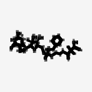 CC(C)(C(=O)O)C(=O)SCCOP(=O)(NCc1ccccc1)OCC1OC(n2cnc3c(=O)[nH]c(N)nc32)[C@](C)(O)[C@@H]1O